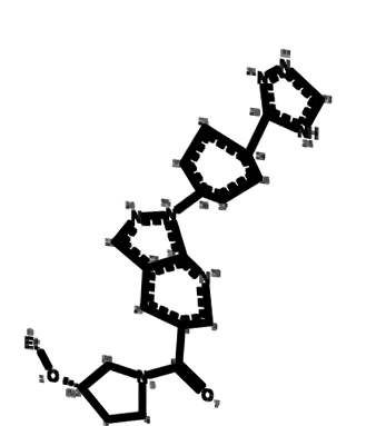 CCO[C@H]1CCN(C(=O)c2cnc3c(cnn3-c3ccc(-c4nnc[nH]4)cc3)c2)C1